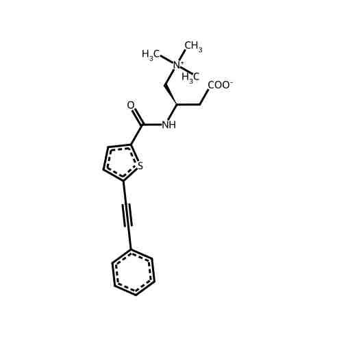 C[N+](C)(C)C[C@@H](CC(=O)[O-])NC(=O)c1ccc(C#Cc2ccccc2)s1